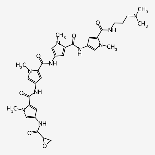 CN(C)CCCNC(=O)c1cc(NC(=O)c2cc(NC(=O)c3cc(NC(=O)c4cc(NC(=O)C5CO5)cn4C)cn3C)cn2C)cn1C